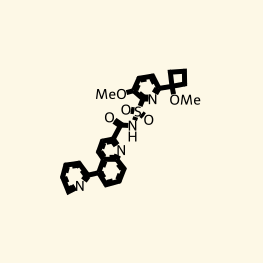 COc1ccc(C2(OC)CCC2)nc1S(=O)(=O)NC(=O)c1ccc2c(-c3ccccn3)cccc2n1